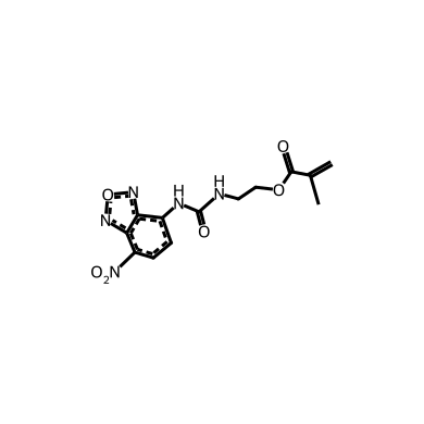 C=C(C)C(=O)OCCNC(=O)Nc1ccc([N+](=O)[O-])c2nonc12